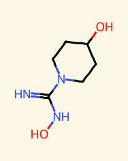 N=C(NO)N1CCC(O)CC1